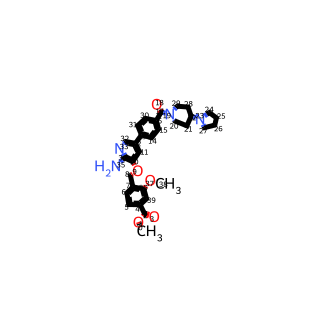 COC(=O)c1ccc(COc2cc(-c3ccc(C(=O)N4CCC(N5CCCC5)CC4)cc3)cnc2N)c(OC)c1